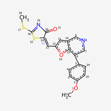 COc1ccc(-c2cncc3cc(/C=C4/SC(SC)=NC4=O)oc23)cc1